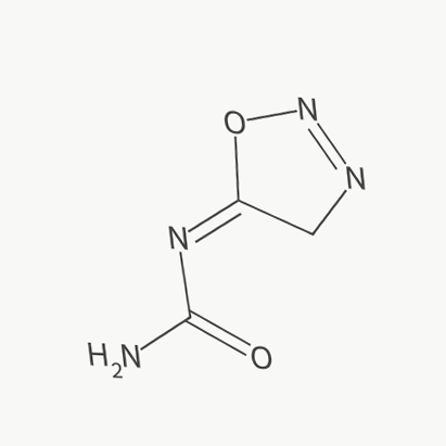 NC(=O)/N=C1\CN=NO1